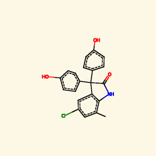 Cc1cc(Cl)cc2c1NC(=O)C2(c1ccc(O)cc1)c1ccc(O)cc1